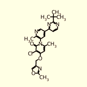 Cc1nc(COc2cc(C)n(-c3cc(-c4ccnc(C(C)(C)C)n4)cnc3C)c(=O)c2Cl)co1